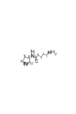 NCCCCC(=O)N[C@H]1CC[N]C1